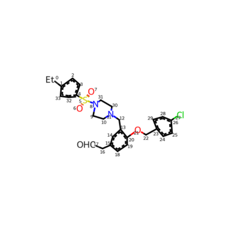 CCc1ccc(S(=O)(=O)N2CCN(Cc3cc(CC=O)ccc3OCc3ccc(Cl)cc3)CC2)cc1